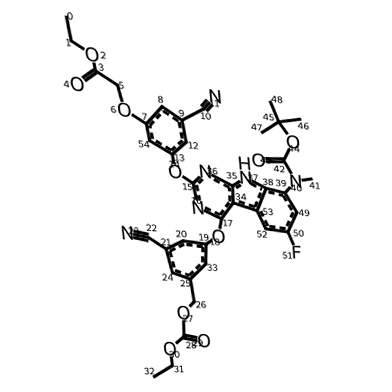 CCOC(=O)COc1cc(C#N)cc(Oc2nc(Oc3cc(C#N)cc(COC(=O)OCC)c3)c3c(n2)[nH]c2c(N(C)C(=O)OC(C)(C)C)cc(F)cc23)c1